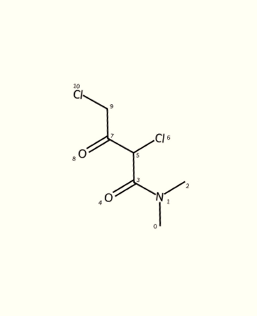 CN(C)C(=O)C(Cl)C(=O)CCl